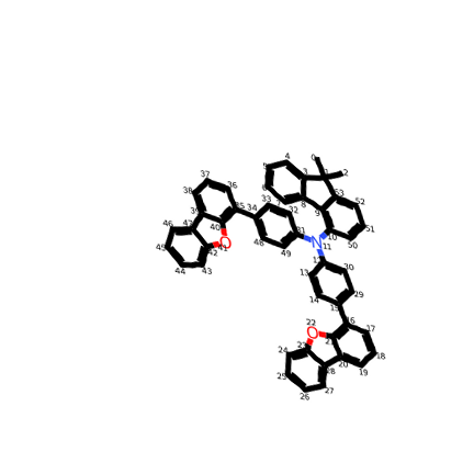 CC1(C)c2ccccc2-c2c(N(c3ccc(-c4cccc5c4oc4ccccc45)cc3)c3ccc(-c4cccc5c4oc4ccccc45)cc3)cccc21